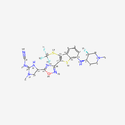 CN1CC[C@@H](Nc2cccc3c(SC(F)(F)F)c(-c4noc(C5CN(C)/C(=N/C#N)N5)n4)sc23)[C@@H](F)C1